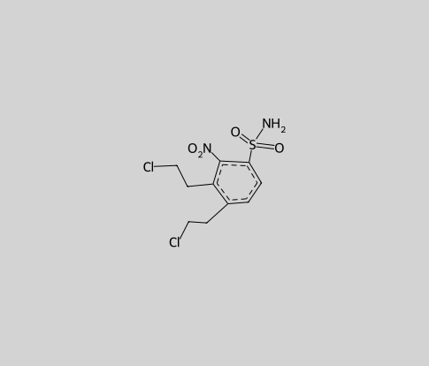 NS(=O)(=O)c1ccc(CCCl)c(CCCl)c1[N+](=O)[O-]